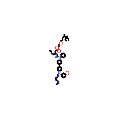 C=C/C=C\C(=C/[C@H](C)N(c1ccccc1)c1ccc(-c2ccc(N(/C=C/C=C\C=C/C)c3cccc(OC)c3)cc2)cc1)CC(=O)OCCOCCCC(=C)C(C)(CC)CC